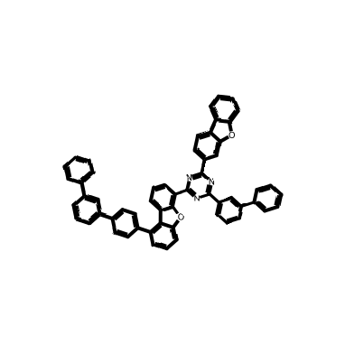 c1ccc(-c2cccc(-c3ccc(-c4cccc5oc6c(-c7nc(-c8cccc(-c9ccccc9)c8)nc(-c8ccc9c(c8)oc8ccccc89)n7)cccc6c45)cc3)c2)cc1